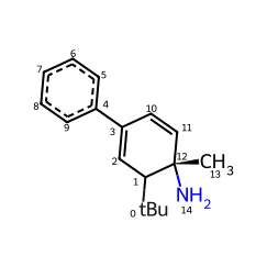 CC(C)(C)C1C=C(c2ccccc2)C=C[C@]1(C)N